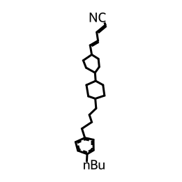 CCCCc1ccc(CCCCC2CCC(C3CCC(C=CC=CC#N)CC3)CC2)cc1